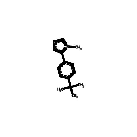 Cn1cnnc1-c1ccc(C(C)(C)C)cc1